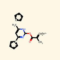 C=C(C)C(=O)OC1N=C([c-]2cccc2)C=C(C)N1.[Fe+2].c1cc[cH-]c1